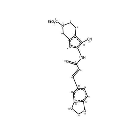 CCOC(=O)N1CCc2c(sc(NC(=O)C=Cc3ccc4c(c3)OCO4)c2C#N)C1